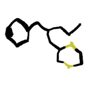 CCCC(Cc1ccccc1)CC1CSCCS1